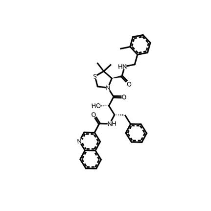 Cc1ccccc1CNC(=O)[C@H]1N(C(=O)[C@@H](O)[C@H](Cc2ccccc2)NC(=O)c2cnc3ccccc3c2)CSC1(C)C